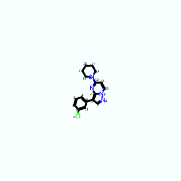 Clc1cccc(-c2cnn3ccc(N4CCCCC4)nc23)c1